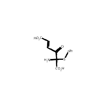 CCCSC(N)(C(=O)O)C(=O)C=CC(=O)O